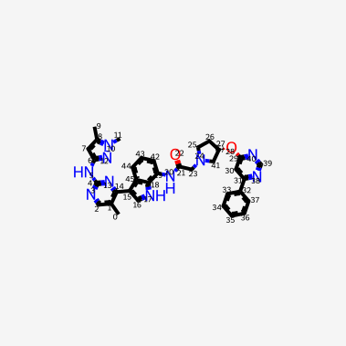 Cc1cnc(Nc2cc(C)n(C)n2)nc1-c1c[nH]c2c(NC(=O)CN3CC[C@H](Oc4cc(-c5ccccc5)ncn4)C3)cccc12